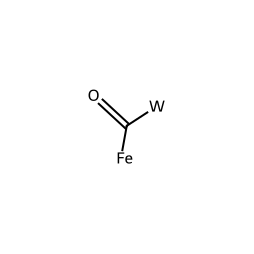 O=[C]([Fe])[W]